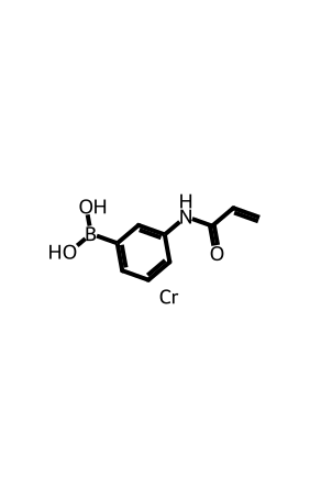 C=CC(=O)Nc1cccc(B(O)O)c1.[Cr]